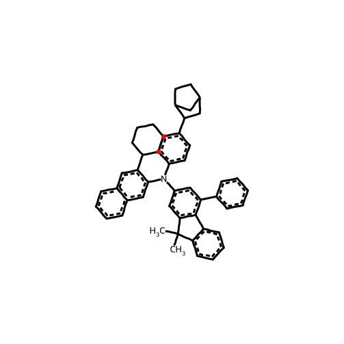 CC1(C)c2ccccc2-c2c(-c3ccccc3)cc(N(c3ccc(C4CC5CCC4C5)cc3)c3cc4ccccc4cc3C3CCCCC3)cc21